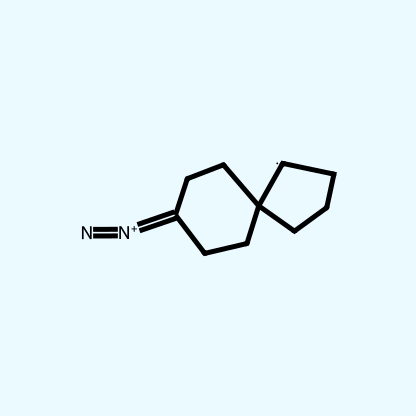 [N-]=[N+]=C1CCC2([CH]CCC2)CC1